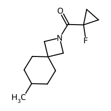 CC1CCC2(CC1)CN(C(=O)C1(F)CC1)C2